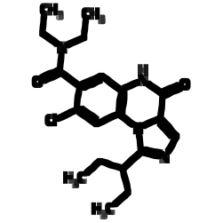 CCC(CC)c1ncc2c(=O)[nH]c3cc(C(=O)N(CC)CC)c(Cl)cc3n12